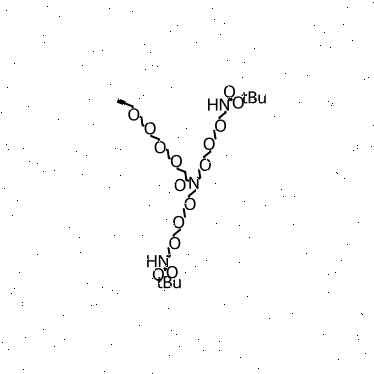 C#CCOCCOCCOCCOCCC(=O)N(CCOCCOCCOCCNC(=O)OC(C)(C)C)CCOCCOCCOCCNC(=O)OC(C)(C)C